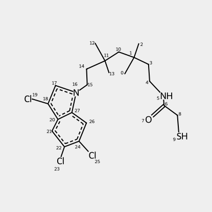 CC(C)(CCNC(=O)CS)CC(C)(C)CCn1cc(Cl)c2cc(Cl)c(Cl)cc21